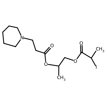 CC(COC(=O)C(C)I)OC(=O)CCN1CCCCC1